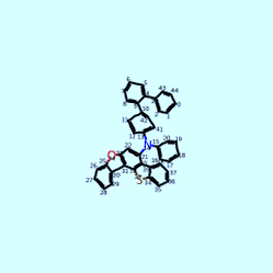 c1ccc(-c2ccccc2-c2ccc(N(c3ccccc3)c3cc4oc5ccccc5c4c4sc5ccccc5c34)cc2)cc1